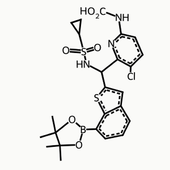 CC1(C)OB(c2cccc3cc(C(NS(=O)(=O)C4CC4)c4nc(NC(=O)O)ccc4Cl)sc23)OC1(C)C